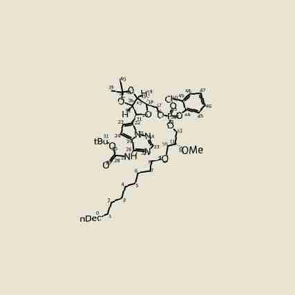 CCCCCCCCCCCCCCCCCCOC[C@H](COP(=O)(OC[C@@]1(C)O[C@@H](c2ccc3c(NC(=O)OC(C)(C)C)ncnn23)[C@@H]2OC(C)(C)O[C@@H]21)Oc1ccccc1Cl)OC